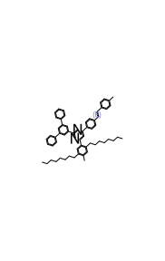 CCCCCCCCc1cc(-c2cc(-c3ccc(/C=C/c4ccc(C)cc4)cc3)nc(-c3cc(-c4ccccc4)cc(-c4ccccc4)c3)n2)c(CCCCCCCC)cc1C